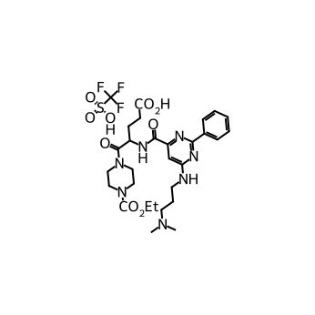 CCOC(=O)N1CCN(C(=O)C(CCC(=O)O)NC(=O)c2cc(NCCCN(C)C)nc(-c3ccccc3)n2)CC1.O=S(=O)(O)C(F)(F)F